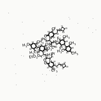 CCOC(=O)C[C@H](NC(=O)C(CC(C)C)n1cc(CCN2CCC2)c(C(F)(F)F)cc1=O)c1c(F)c(C)cc(-c2c(C)cc(C)cc2C)c1F.Cc1cc(C)c(-c2cc(C)c(F)c([C@H](CC(=O)O)NC(=O)C(CC(C)C)n3cc(CCN4CCC4)c(C(F)(F)F)cc3=O)c2F)c(C)c1